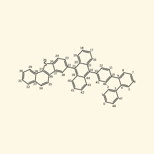 c1ccc(-c2ccccc2-c2ccc(-c3c4ccccc4c(-c4ccc5sc6c7ccccc7ccc6c5c4)c4ccccc34)cc2)cc1